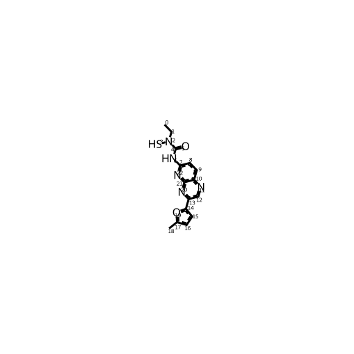 CCN(S)C(=O)Nc1ccc2ncc(-c3ccc(C)o3)nc2n1